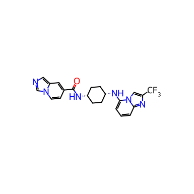 O=C(N[C@H]1CC[C@@H](Nc2cccc3nc(C(F)(F)F)cn23)CC1)c1ccn2cncc2c1